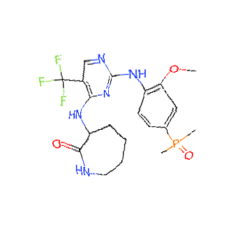 COc1cc(P(C)(C)=O)ccc1Nc1ncc(C(F)(F)F)c(NC2CCCCNC2=O)n1